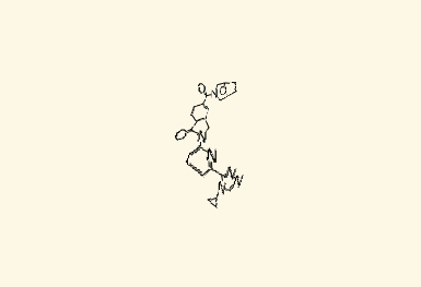 O=C(c1ccc2c(c1)CN(c1cccc(-c3nncn3C3CC3)n1)C2=O)N1CC2CCC(C1)O2